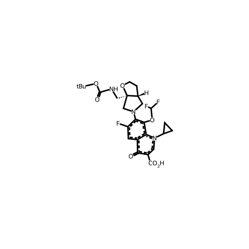 CC(C)(C)OC(=O)NC[C@@]12CN(c3c(F)cc4c(=O)c(C(=O)O)cn(C5CC5)c4c3OC(F)F)C[C@H]1CCO2